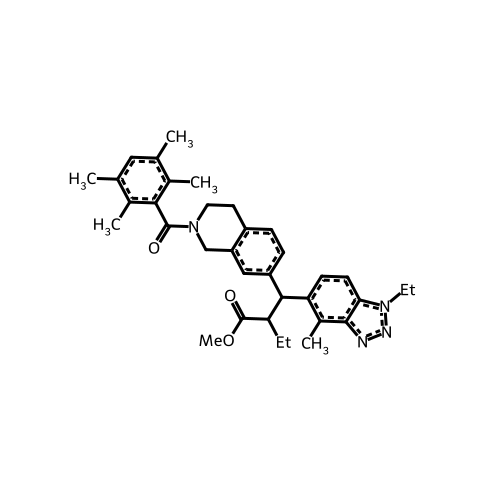 CCC(C(=O)OC)C(c1ccc2c(c1)CN(C(=O)c1c(C)c(C)cc(C)c1C)CC2)c1ccc2c(nnn2CC)c1C